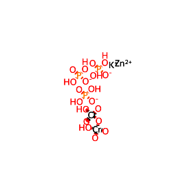 O=P([O-])(O)O.O=P([O-])(O)O.O=P([O-])(O)O.[K+].[O]=[Cr](=[O])([OH])[O][Cr](=[O])(=[O])[OH].[Zn+2]